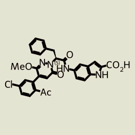 COc1nn([C@@H](Cc2ccccc2)C(=O)Nc2ccc3[nH]c(C(=O)O)cc3c2)c(=O)cc1-c1cc(Cl)ccc1C(C)=O